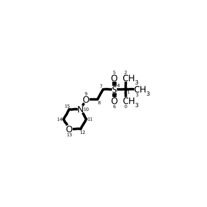 CC(C)(C)S(=O)(=O)CCON1CCOCC1